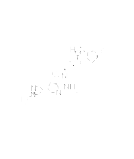 Cn1cc(-c2cnc(N)c(C(=O)N[C@@H]3CCN(C(=O)Oc4ccc(Cl)cc4N)C3)c2)cn1